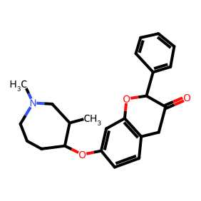 CC1CN(C)CCCC1Oc1ccc2c(c1)OC(c1ccccc1)C(=O)C2